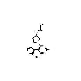 Cc1nc(N2CCC(NC(=O)CC(F)(F)F)C2)c2c(nnc3[nH]ccc32)n1